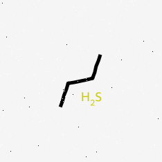 CCCC.S